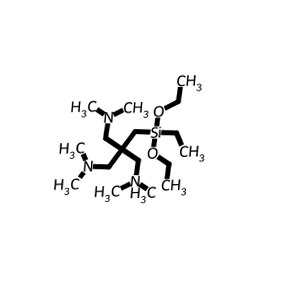 CCO[Si](CC)(CC(CN(C)C)(CN(C)C)CN(C)C)OCC